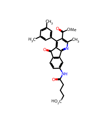 COC(=O)c1c(C)nc2c(c1-c1cc(C)cc(C)c1)C(=O)c1ccc(NC(=O)CCCC(=O)O)cc1-2